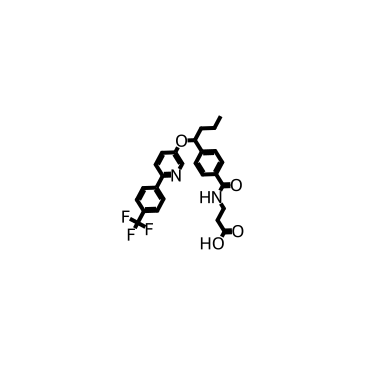 CCCC(Oc1ccc(-c2ccc(C(F)(F)F)cc2)nc1)c1ccc(C(=O)NCCC(=O)O)cc1